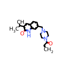 C=CC(=O)N1CCN(Cc2ccc3cc(C(C)C)c(=O)[nH]c3c2)CC1